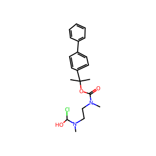 CN(CCN(C)C(O)Cl)C(=O)OC(C)(C)c1ccc(-c2ccccc2)cc1